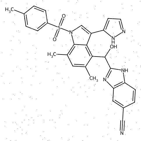 Cc1ccc(S(=O)(=O)n2cc(-c3ccn[nH]3)c3c(C(O)c4nc5cc(C#N)ccc5[nH]4)c(C)cc(C)c32)cc1